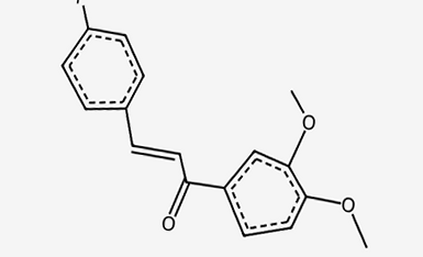 COc1ccc(C(=O)/C=C/c2ccc(F)cc2)cc1OC